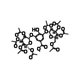 COC(=O)c1cc(OC2O[C@H](COC(C)=O)[C@@H](OC(C)=O)[C@H](OC(C)=O)[C@H]2OC(C)=O)c(O)c(OC2O[C@H](COC(C)=O)[C@@H](OC(C)=O)[C@H](OC(C)=O)[C@H]2OC(C)=O)c1